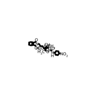 CC1=C(C)C2(C)N(C(=O)Nc3ccc([N+](=O)[O-])cc3)OC1(C)C2(C)CCC(=O)CN1C(=O)C2C3C=CC(C3)C2C1=O